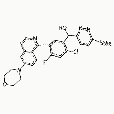 CSc1ccc(C(O)c2cc(-c3ncnc4cc(N5CCOCC5)ccc34)c(F)cc2Cl)nn1